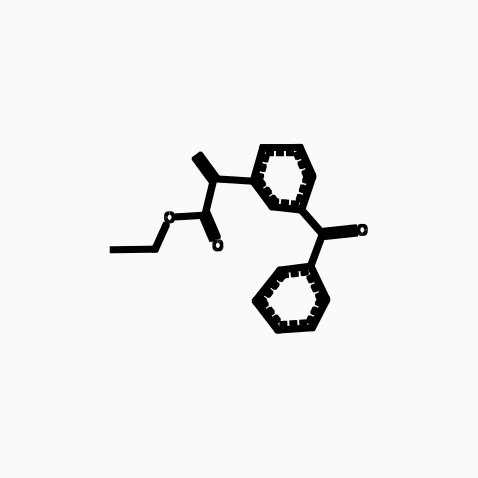 C=C(C(=O)OCC)c1cccc(C(=O)c2ccccc2)c1